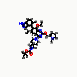 C=Cc1cc2c(N3CCC4(CC3)CN(C(=O)OC(C)(C)C)C4)nc(OC[C@@H]3CCCN3C)nc2c(OCC)c1-c1c(C)ccc2[nH]ncc12